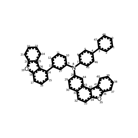 c1ccc(-c2ccc(N(c3cccc(-c4cccc5oc6ccccc6c45)c3)c3ccc4ccc5oc6ccccc6c5c4c3)cc2)cc1